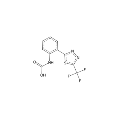 O=C(O)Nc1ccccc1-c1nnc(C(F)(F)F)s1